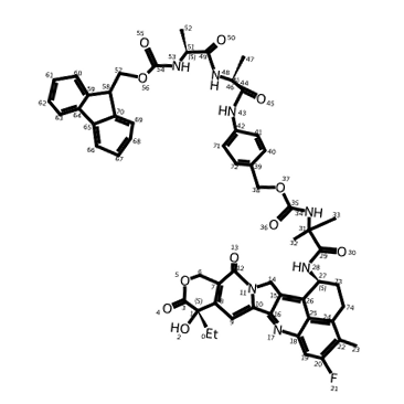 CC[C@@]1(O)C(=O)OCc2c1cc1n(c2=O)Cc2c-1nc1cc(F)c(C)c3c1c2[C@@H](NC(=O)C(C)(C)NC(=O)OCc1ccc(NC(=O)[C@H](C)NC(=O)[C@H](C)NC(=O)OCC2c4ccccc4-c4ccccc42)cc1)CC3